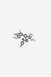 Cc1cn(-c2ccc(-c3cc(F)c(CO)c(S(C)(=O)=O)c3)cc2-n2nncc2C2(c3ccc(Cl)cc3)CC2)c(C)n1